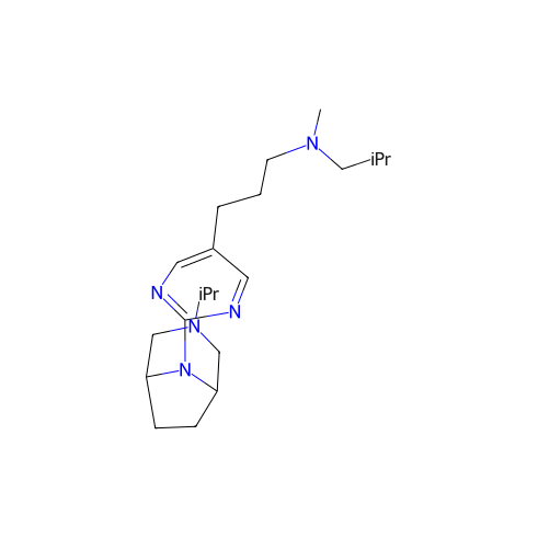 CC(C)CN(C)CCCc1cnc(N2C3CCC2CN(C(C)C)C3)nc1